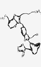 CCCCc1nc2c(C)ccnc2n1Cc1ccc2oc(-c3ccccc3-c3nnn[nH]3)c(Br)c2c1